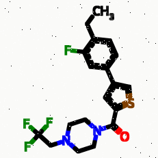 CCc1ccc(-c2csc(C(=O)N3CCN(CC(F)(F)F)CC3)c2)cc1F